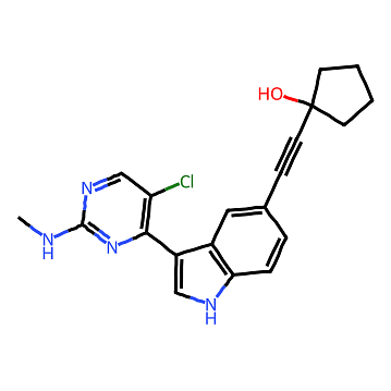 CNc1ncc(Cl)c(-c2c[nH]c3ccc(C#CC4(O)CCCC4)cc23)n1